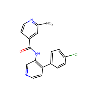 O=C(Nc1cnccc1-c1ccc(Cl)cc1)c1ccnc([N+](=O)[O-])c1